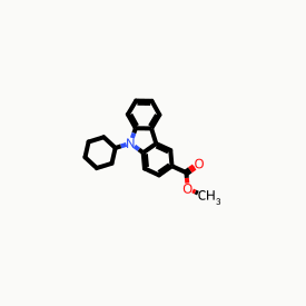 COC(=O)c1ccc2c(c1)c1ccccc1n2C1CCCCC1